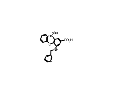 CCCCNc1cc(C(=O)O)cc(NCc2cccnc2)c1Oc1ccccc1